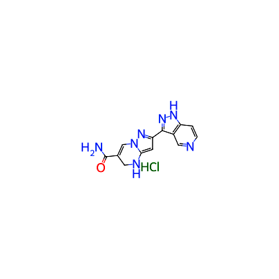 Cl.NC(=O)C1=Cn2nc(-c3n[nH]c4ccncc34)cc2NC1